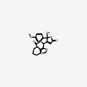 COc1ccc(C2(O)OC(=O)C=C2C(OC(=O)C2CCCCC2)C2=COCO2)cc1